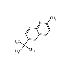 Cc1ccc2cc(C(C)(C)C)ccc2n1